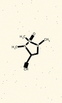 C#CC1CN(C)P(C)(=O)N1C